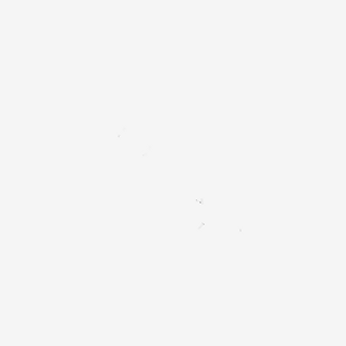 CC(=O)NCCOC(=O)CC(=O)O